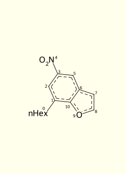 CCCCCCc1cc([N+](=O)[O-])cc2ccoc12